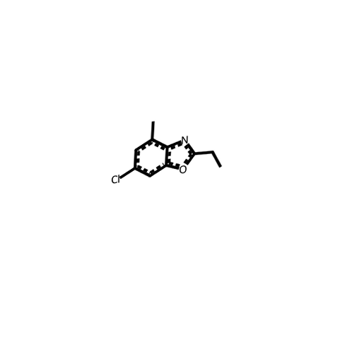 CCc1nc2c(C)cc(Cl)cc2o1